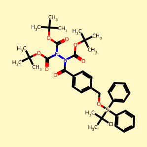 CC(C)(C)OC(=O)N(C(=O)OC(C)(C)C)N(C(=O)OC(C)(C)C)C(=O)c1ccc(CO[Si](c2ccccc2)(c2ccccc2)C(C)(C)C)cc1